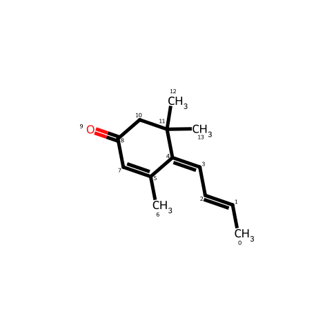 CC=CC=C1C(C)=CC(=O)CC1(C)C